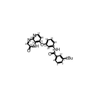 CC(C)(C)c1cccc(C(=O)Nc2cccc(Oc3ccnc4ncc(=O)[nH]c34)c2)c1